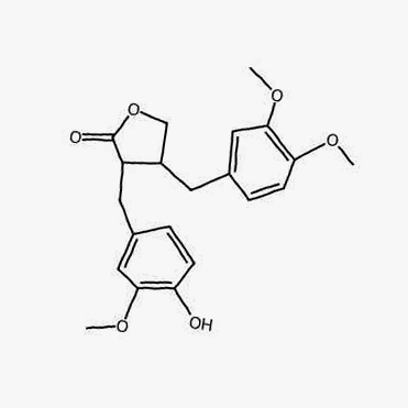 COc1cc(CC2C(=O)OCC2Cc2ccc(OC)c(OC)c2)ccc1O